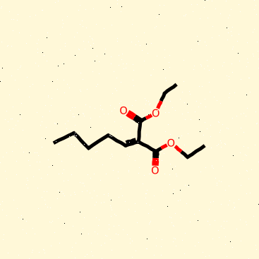 CCCCC=C(C(=O)OCC)C(=O)OCC